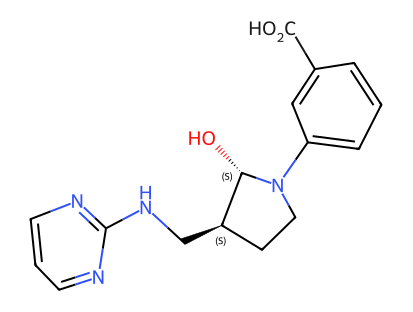 O=C(O)c1cccc(N2CC[C@@H](CNc3ncccn3)[C@@H]2O)c1